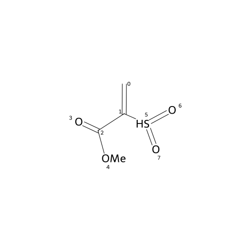 C=C(C(=O)OC)[SH](=O)=O